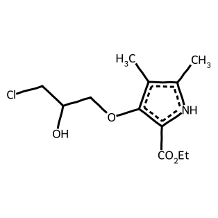 CCOC(=O)c1[nH]c(C)c(C)c1OCC(O)CCl